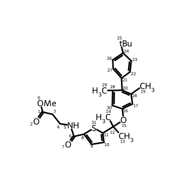 COC(=O)CCNC(=O)c1ccc(C(C)(C)Oc2cc(C)c(-c3ccc(C(C)(C)C)cc3)c(C)c2)s1